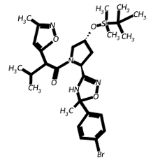 Cc1cc(C(C(=O)N2C[C@H](O[Si](C)(C)C(C)(C)C)C[C@H]2C2=NOC(C)(c3ccc(Br)cc3)N2)C(C)C)on1